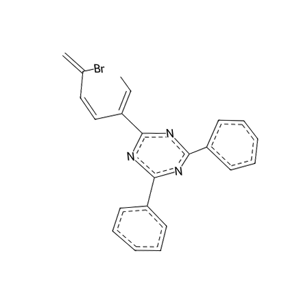 C=C(Br)/C=C\C(=C/C)c1nc(-c2ccccc2)nc(-c2ccccc2)n1